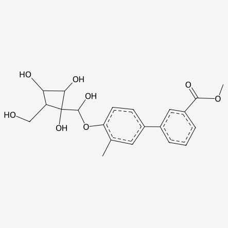 COC(=O)c1cccc(-c2ccc(OC(O)C3(O)C(O)C(O)C3CO)c(C)c2)c1